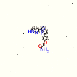 NC(=O)CCOc1ccc(-c2ccc3ncc(-c4cnc5[nH]ccc5c4)n3n2)cc1